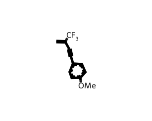 C=C(C#Cc1ccc(OC)cc1)C(F)(F)F